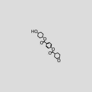 O=C(OC1CCC(O)CC1)c1ccc(OC(=O)C2CCC3OC3C2)cc1